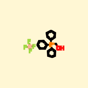 F[B-](F)(F)F.OC[P+](c1ccccc1)(c1ccccc1)c1ccccc1